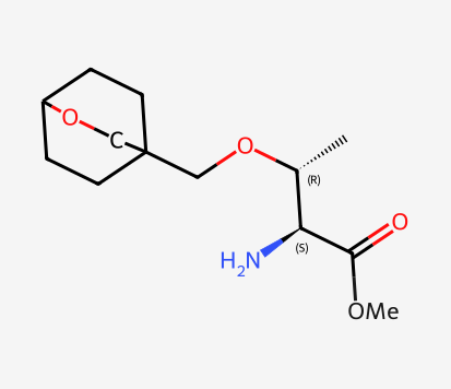 COC(=O)[C@@H](N)[C@@H](C)OCC12CCC(CC1)OC2